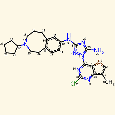 Cc1csc2c(-n3nc(Nc4ccc5c(c4)CCCN(C4CCCC4)CC5)nc3N)nc(Cl)nc12